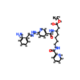 COC(=O)CC(CCCCNC(=O)c1ccccn1)NC(=O)c1ccc(NN=Cc2ccccc2N)nc1